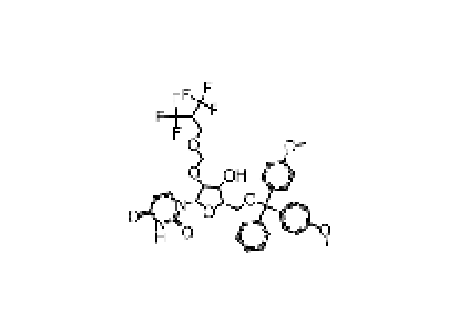 COc1ccc(C(OC[C@H]2O[C@@H](n3ccc(=O)[nH]c3=O)[C@@H](OCOCC(C(F)(F)F)C(F)(F)F)C2O)(c2ccccc2)c2ccc(OC)cc2)cc1